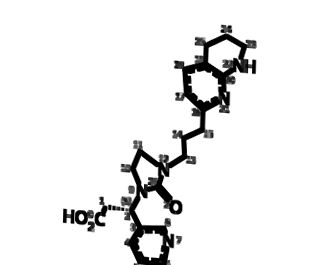 O=C(O)C[C@@H](c1cccnc1)N1CCN(CCCc2ccc3c(n2)NCCC3)C1=O